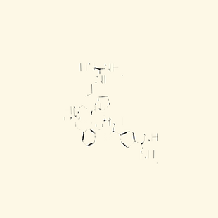 N=C(N)NCCC[C@@H](NS(=O)(=O)Cc1ccccc1)C(=O)N1CCC[C@H]1C(=O)NC(=O)c1ccc(C(=N)N)cc1